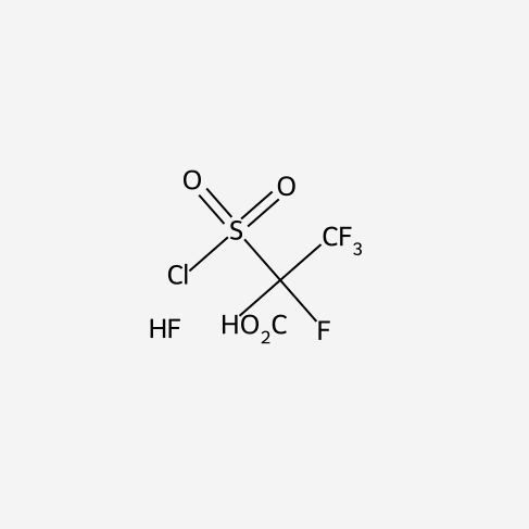 F.O=C(O)C(F)(C(F)(F)F)S(=O)(=O)Cl